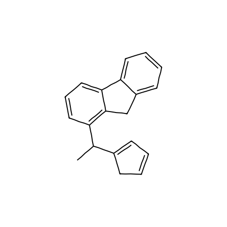 CC(C1=CC=CC1)c1cccc2c1Cc1ccccc1-2